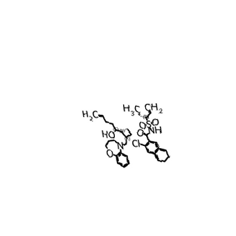 C=CCC[C@H](O)[C@@H]1CC[C@H]1CN1CCCOc2ccccc21.C=C[C@@H](CC)S(=O)(=O)NC(=O)c1cc2c(cc1Cl)=CCCC=2